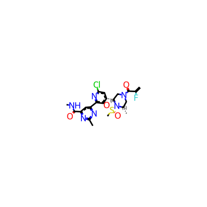 C=C(F)C(=O)N1C[C@H](C)N(S(C)(=O)=O)[C@H](c2cc(Cl)nc(-c3cc(C(=O)NC)nc(C)n3)c2)C1